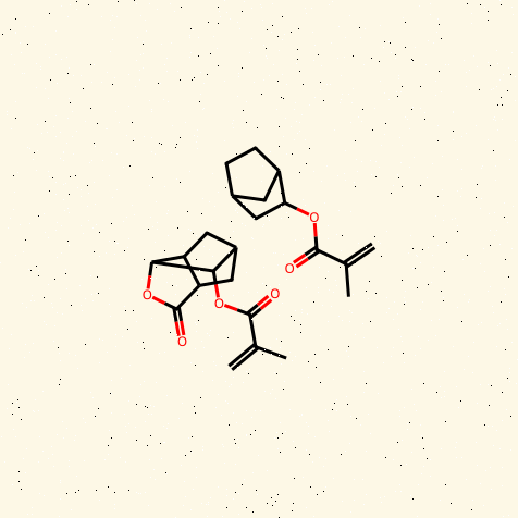 C=C(C)C(=O)OC1C2CC3C(=O)OC1C3C2.C=C(C)C(=O)OC1CC2CCC1C2